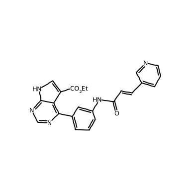 CCOC(=O)c1c[nH]c2ncnc(-c3cccc(NC(=O)C=Cc4cccnc4)c3)c12